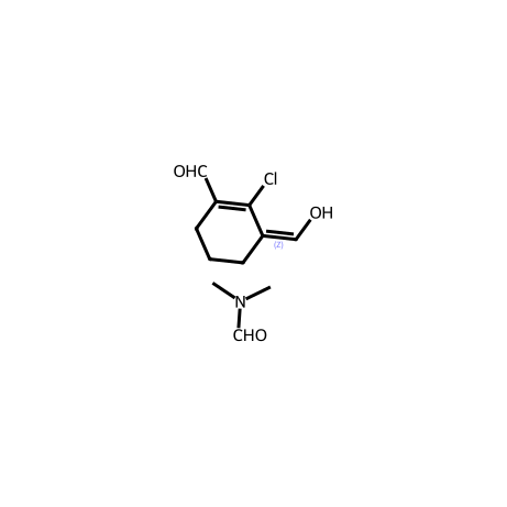 CN(C)C=O.O=CC1=C(Cl)/C(=C\O)CCC1